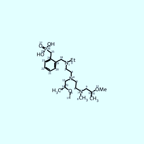 CCN(CCN(CCN(C)C[C@H](C)OC)C[C@H](C)OI)Cc1ccccc1CP(=O)(O)O